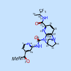 CNC(=O)c1ccnc(NC(=O)N2c3nc(C(=O)N[C@H](C)C(F)(F)F)ccc3N3CCC2C3)c1